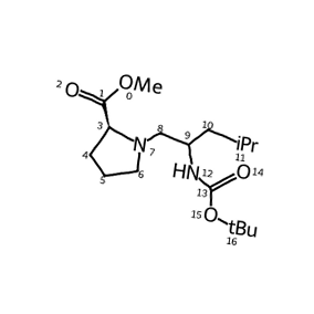 COC(=O)[C@@H]1CCCN1CC(CC(C)C)NC(=O)OC(C)(C)C